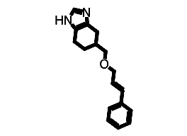 C(=Cc1ccccc1)COCC1CCc2[nH]cnc2C1